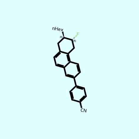 CCCCCC[C@@H]1Cc2ccc3cc(-c4ccc(C#N)cc4)ccc3c2C[C@H]1F